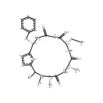 CCC1c2nnc(o2)[C@H](Cc2ccccc2)NC(=O)NC(=O)[C@H](CC(C)C)NC(=O)[C@H](C)NC(=O)[C@H](CC)N1CC